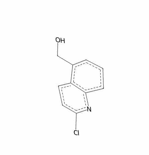 OCc1cccc2nc(Cl)ccc12